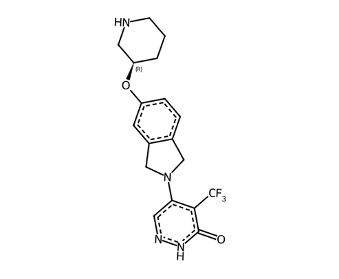 O=c1[nH]ncc(N2Cc3ccc(O[C@@H]4CCCNC4)cc3C2)c1C(F)(F)F